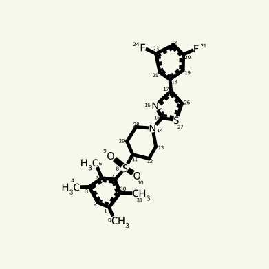 Cc1cc(C)c(C)c(S(=O)(=O)C2CCN(c3nc(-c4cc(F)cc(F)c4)cs3)CC2)c1C